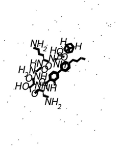 CCCCc1ccc(-c2ccc(C(=O)N[C@@H](CCN)C(=O)N[C@H](C(=O)N[C@@H](N)C(=O)N[C@@H](CCCCN)C(=O)N[C@@H](N)B3OC4C[C@@H]5C[C@@H](C5(C)C)[C@]4(C)O3)[C@@H](C)O)c(C)c2)cc1